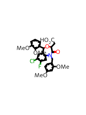 COc1ccc(CN2C(=O)C(CC(=O)O)OC(c3cccc(OC)c3OC)c3cc(Cl)c(F)cc32)c(OC)c1